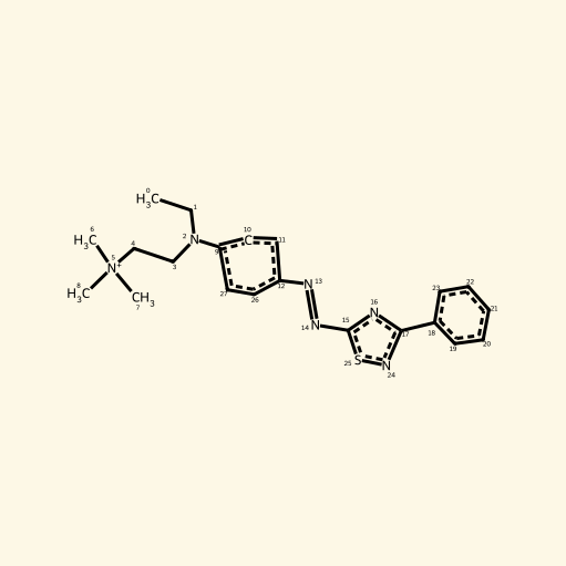 CCN(CC[N+](C)(C)C)c1ccc(N=Nc2nc(-c3ccccc3)ns2)cc1